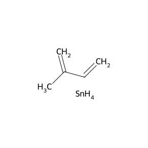 C=CC(=C)C.[SnH4]